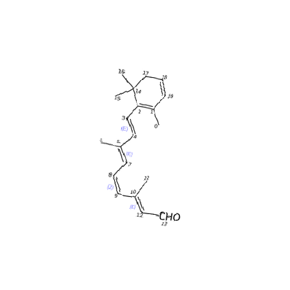 CC1=C(/C=C/C(C)=C/C=C\C(C)=C\C=O)C(C)(C)CC=C1